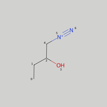 CCC(O)C[N+]#N